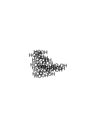 OCC(O)C(O)C(O)C(O)CO.OCC(O)CO.OC[C@@H](O)[C@H](O)[C@@H](O)CO.OC[C@H]1O[C@H](OC[C@H]2O[C@H](O)[C@@H](O)[C@@H](O)[C@@H]2O)[C@@H](O)[C@@H](O)[C@@H]1O.OC[C@H]1O[C@H](O[C@H]2[C@H](O)[C@@H](O)C(O)O[C@@H]2CO)[C@H](O)[C@@H](O)[C@@H]1O